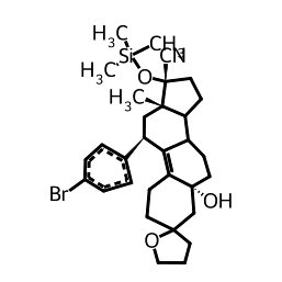 C[C@]12C[C@H](c3ccc(Br)cc3)C3=C4CCC5(CCCO5)C[C@]4(O)CCC3C1CC[C@@]2(C#N)O[Si](C)(C)C